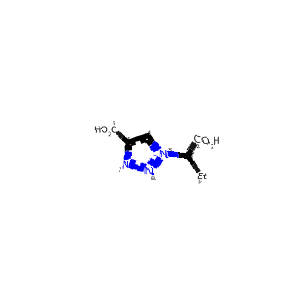 CCC(C(=O)O)n1cc(C(=O)O)nn1